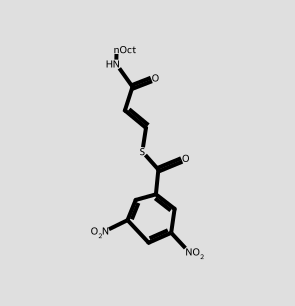 CCCCCCCCNC(=O)C=CSC(=O)c1cc([N+](=O)[O-])cc([N+](=O)[O-])c1